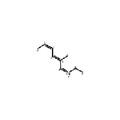 C\C=C/C=C(C)/C=N\CC